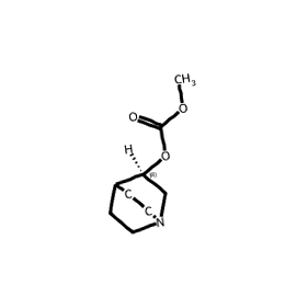 COC(=O)O[C@H]1CN2CCC1CC2